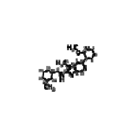 COc1ncccc1-c1cc2c(cn1)nc(NCc1cccc(C)c1)n2C